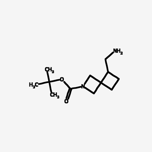 CC(C)(C)OC(=O)N1CC2(CCC2CN)C1